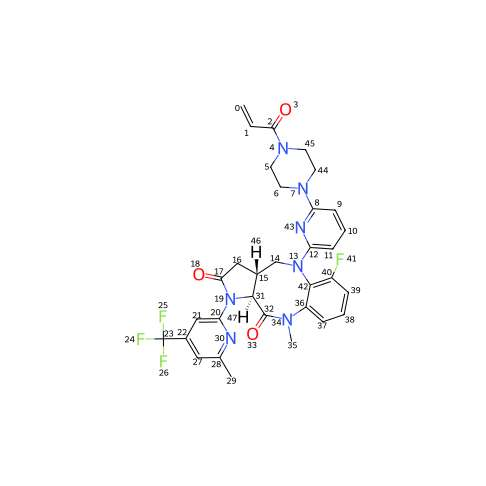 C=CC(=O)N1CCN(c2cccc(N3C[C@H]4CC(=O)N(c5cc(C(F)(F)F)cc(C)n5)[C@@H]4C(=O)N(C)c4cccc(F)c43)n2)CC1